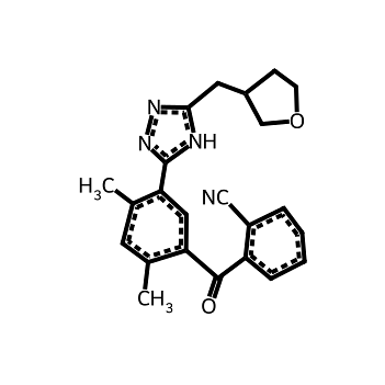 Cc1cc(C)c(-c2nnc(CC3CCOC3)[nH]2)cc1C(=O)c1ccccc1C#N